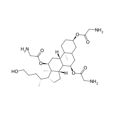 C[C@H](CCCO)[C@H]1CC[C@H]2C3[C@H](OC(=O)CN)CC4C[C@H](OC(=O)CN)CC[C@]4(C)[C@H]3C[C@H](OC(=O)CN)[C@]12C